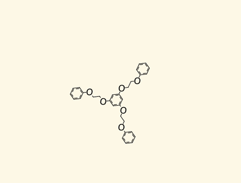 c1ccc(OCCOc2cc(OCCOc3ccccc3)cc(OCCOc3ccccc3)c2)cc1